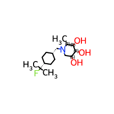 C[C@@H]1[C@@H](O)[C@H](O)[C@@H](O)CN1C[C@H]1CC[C@@H](C(C)(C)F)CC1